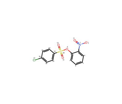 O=[N+]([O-])c1cc[c]cc1OS(=O)(=O)c1ccc(Cl)cc1